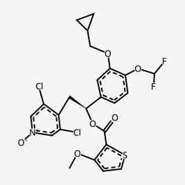 COc1ccsc1C(=O)O[C@@H](Cc1c(Cl)c[n+]([O-])cc1Cl)c1ccc(OC(F)F)c(OCC2CC2)c1